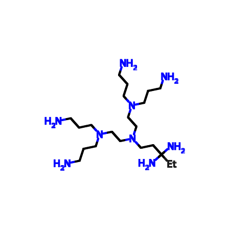 [CH2]CC(N)(N)CCN(CCN(CCCN)CCCN)CCN(CCCN)CCCN